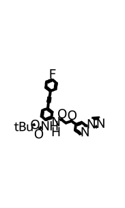 CC(C)(C)OC(=O)Nc1ccc(C#Cc2ccc(F)cc2)cc1NC(=O)CC(=O)c1ccnc(-n2ccnc2)c1